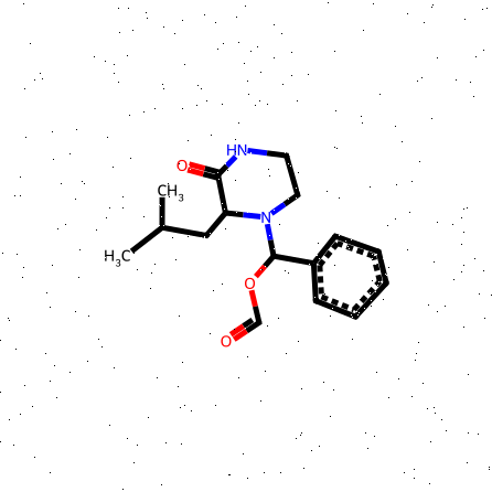 CC(C)CC1C(=O)NCCN1C(OC=O)c1ccccc1